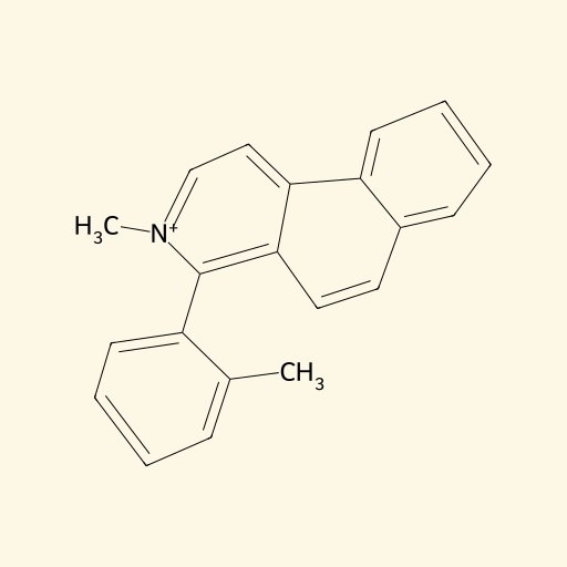 Cc1ccccc1-c1c2ccc3ccccc3c2cc[n+]1C